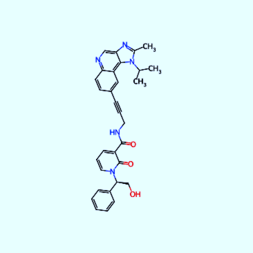 Cc1nc2cnc3ccc(C#CCNC(=O)c4cccn([C@@H](CO)c5ccccc5)c4=O)cc3c2n1C(C)C